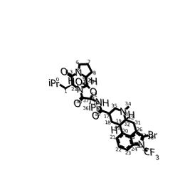 CC(C)C[C@H]1C(=O)N2CCC[C@H]2[C@]2(O)O[C@](NC(=O)C3C[C@@H]4c5cccc6c5c(c(Br)n6C(F)(F)F)C[C@H]4N(C)C3)(C(C)C)C(=O)N12